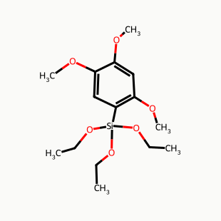 CCO[Si](OCC)(OCC)c1cc(OC)c(OC)cc1OC